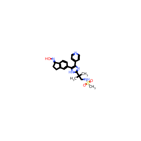 CC(C)(CNS(C)(=O)=O)c1nc(-c2ccncc2)c(-c2ccc3c(c2)CCC3=NO)[nH]1